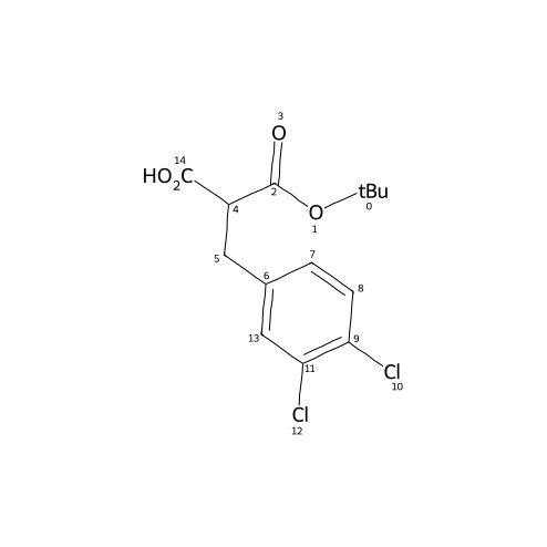 CC(C)(C)OC(=O)C(Cc1ccc(Cl)c(Cl)c1)C(=O)O